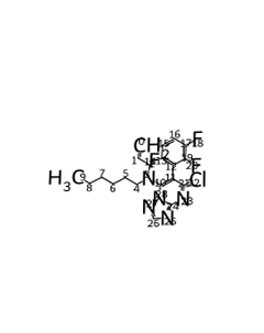 C=CCN(CCCCCC)c1c(-c2c(F)ccc(F)c2F)c(Cl)nc2ncnn12